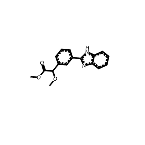 COC(=O)C(OC)c1cccc(-c2nc3ccccc3[nH]2)c1